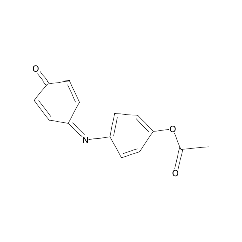 CC(=O)Oc1ccc(N=C2C=CC(=O)C=C2)cc1